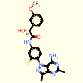 Cc1nc(N)c2c(n1)c(C)nn2-c1ccc(NC(=O)[C@H](O)c2cccc(OC(F)(F)F)c2)cc1F